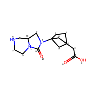 O=C(O)CC12CCC(N3CC4CNCCN4C3=O)(C1)C2